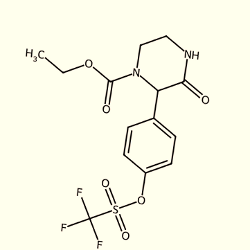 CCOC(=O)N1CCNC(=O)C1c1ccc(OS(=O)(=O)C(F)(F)F)cc1